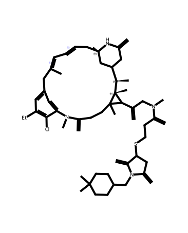 C=C1CC2C[C@](C)(C/C=C/C=C(\C)Cc3cc(CC)c(Cl)c(c3)N(C)C(=C)CCC3(C)C(C(=C)CN(C)C(=C)CCSC4CC(=C)N(CC5CCC(C)(C)CC5)C4=C)[C@@]3(C)[C@@H]2C)N1